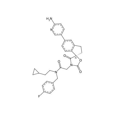 Nc1ccc(-c2ccc3c(c2)CC[C@@]32OC(=O)N(CC(=O)N(CCC3CC3)Cc3ccc(F)cc3)C2=O)cn1